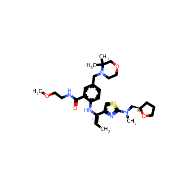 C/C=C(/Nc1ccc(CN2CCOCC2(C)C)cc1C(=O)NCCOC)c1csc(N(C)C[C@H]2CCCO2)n1